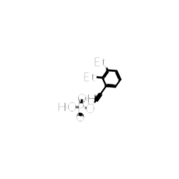 CCc1cccc(C#COP(=O)(O)O)c1CC